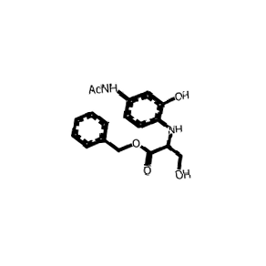 CC(=O)Nc1ccc(NC(CO)C(=O)OCc2ccccc2)c(O)c1